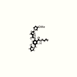 CO[C@H]1CCN(c2nc(C(=O)Nc3ccc(CN4CCCC4=O)cc3C(=O)NCCCF)cs2)C1